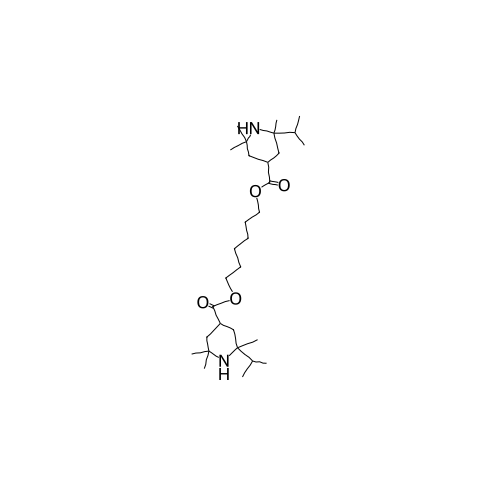 CC(C)C1(C)CC(C(=O)OCCCCCCOC(=O)C2CC(C)(C)NC(C)(C(C)C)C2)CC(C)(C)N1